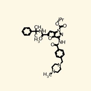 CC(C)OC(=O)n1nc(NC(=O)c2ccc(CN3CCN(C)CC3)cc2)c2oc(C(=O)NC(C)(C)c3ccccc3)cc21